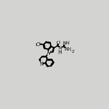 N=C(N)NC(=O)c1cn(-c2ccnc3ccccc23)c2cc(Cl)ccc12